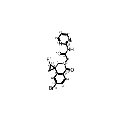 O=C(CN1C[C@]2(C[C@H]2F)c2cc(Br)ccc2C1=O)Nc1ncccn1